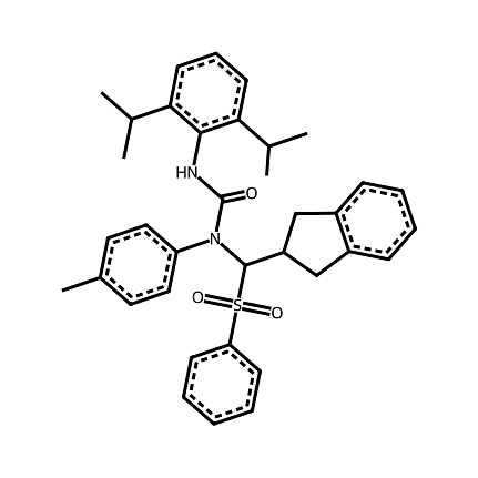 Cc1ccc(N(C(=O)Nc2c(C(C)C)cccc2C(C)C)C(C2Cc3ccccc3C2)S(=O)(=O)c2ccccc2)cc1